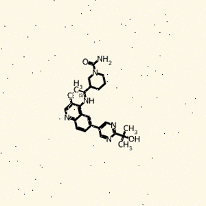 C[C@H](Nc1c(Cl)cnc2ccc(-c3cnc(C(C)(C)O)nc3)cc12)C1CCCN(C(N)=O)C1